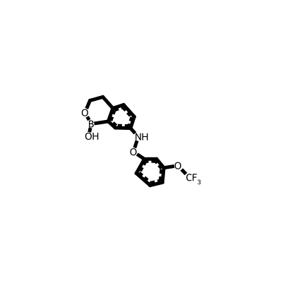 OB1OCCc2ccc(NOc3cccc(OC(F)(F)F)c3)cc21